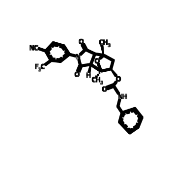 C[C@]12O[C@@](C)(C[C@H]1OC(=O)NCc1ccccc1)C1C(=O)N(c3ccc(C#N)c(C(F)(F)F)c3)C(=O)[C@H]12